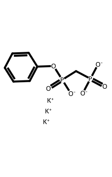 O=P([O-])([O-])CP(=O)([O-])Oc1ccccc1.[K+].[K+].[K+]